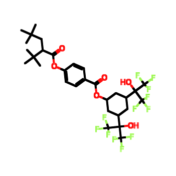 CC(C)(C)CC(C(=O)Oc1ccc(C(=O)OC2CC(C(O)(C(F)(F)F)C(F)(F)F)CC(C(O)(C(F)(F)F)C(F)(F)F)C2)cc1)C(C)(C)C